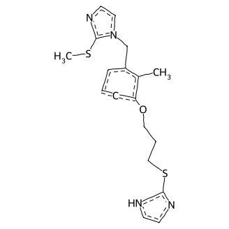 CSc1nccn1Cc1cccc(OCCCSc2ncc[nH]2)c1C